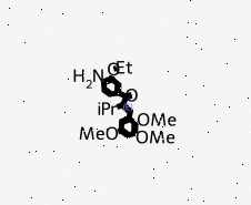 CCOc1cc(C(=O)/C(=C/c2cc(OC)cc(OC)c2OC)C(C)C)ccc1N